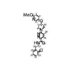 COc1ccc(OC2CCN(c3nnc(C(=O)NCCc4ccccc4Cl)cc3C)CC2)cn1